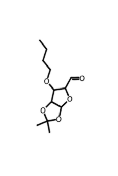 CCCCOC1C(C=O)OC2OC(C)(C)OC21